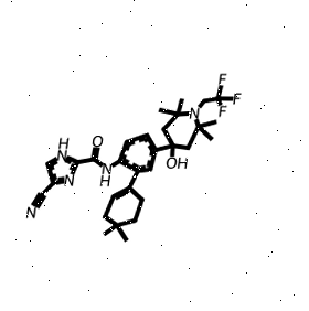 CC1(C)CC=C(c2cc(C3(O)CC(C)(C)N(CC(F)(F)F)C(C)(C)C3)ccc2NC(=O)c2nc(C#N)c[nH]2)CC1